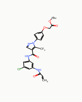 C=CC(=O)Nc1cc(Cl)cc(NC(=O)c2cnn(-c3ccc(OCC(=O)OC(C)(C)C)cc3)c2C(F)(F)F)c1